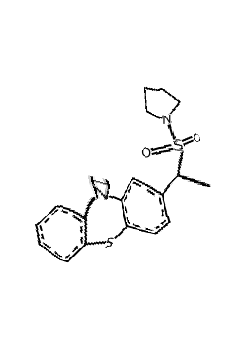 CC(c1ccc2c(c1)Nc1ccccc1S2)S(=O)(=O)N1CCCC1